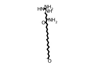 N=C(N)NCCC[C@H](N)C(=O)CCCCCCCCCCCCCCC[C]=O